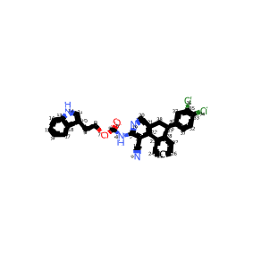 N#Cc1c(NC(=O)OCCc2c[nH]c3ccccc23)ncc2c1-c1ccccc1C(c1ccc(Cl)c(Cl)c1)C2